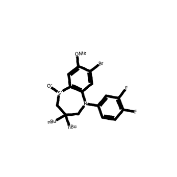 CCCCC1(CCCC)CN(c2ccc(F)c(F)c2)c2cc(Br)c(OC)cc2[S+]([O-])C1